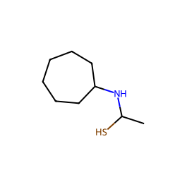 CC(S)NC1CCCCCC1